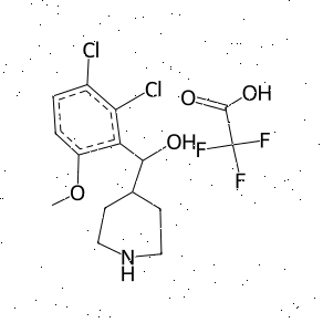 COc1ccc(Cl)c(Cl)c1C(O)C1CCNCC1.O=C(O)C(F)(F)F